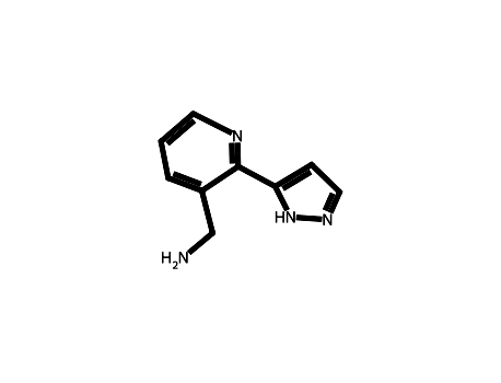 NCc1cccnc1-c1ccn[nH]1